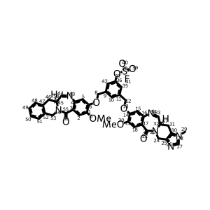 COc1cc2c(cc1OCc1cc(COc3cc4c(cc3OC)C(=O)N3Cc5ncn(C)c5C[C@H]3C=N4)cc(OS(=O)(=O)F)c1)N=C[C@@H]1Cc3ccccc3CN1C2=O